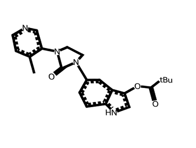 Cc1ccncc1N1CCN(c2ccc3[nH]cc(OC(=O)C(C)(C)C)c3c2)C1=O